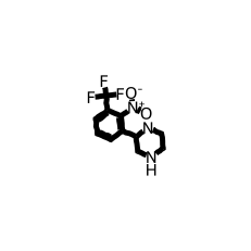 O=[N+]([O-])c1c(C2CNCC[N]2)cccc1C(F)(F)F